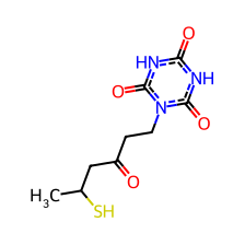 CC(S)CC(=O)CCn1c(=O)[nH]c(=O)[nH]c1=O